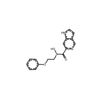 O=C(c1cc2[nH]ccc2cn1)N(O)CCOc1ccccc1